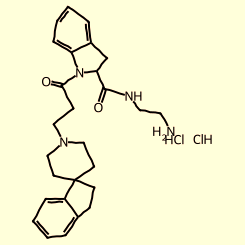 Cl.Cl.NCCNC(=O)C1Cc2ccccc2N1C(=O)CCN1CCC2(CCc3ccccc32)CC1